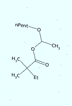 CCCCCOC(C)OC(=O)C(C)(C)CC